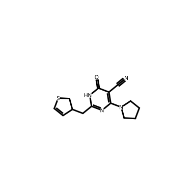 N#Cc1c(N2CCCC2)nc(CC2C=CSC2)[nH]c1=O